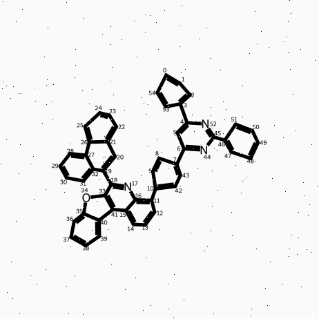 c1ccc(-c2cc(-c3ccc(-c4cccc5c4nc(-c4cc6ccccc6c6ccccc46)c4oc6ccccc6c45)cc3)nc(-c3ccccc3)n2)cc1